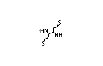 [NH]C(CC=S)C([NH])CC=S